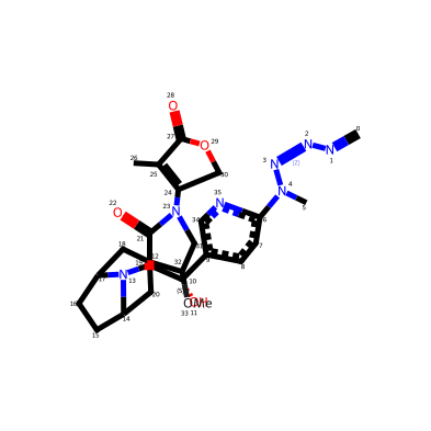 C=N/N=N\N(C)c1ccc([C@H](O)CN2C3CCC2CC2(C3)C(=O)N(C3=C(C)C(=O)OC3)CC2OC)cn1